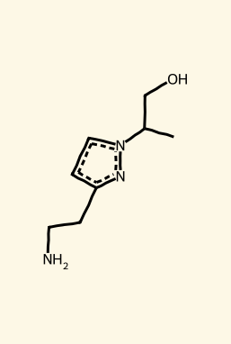 CC(CO)n1ccc(CCN)n1